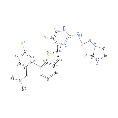 CCN(CC)Cc1cnc(F)cc1-c1cccc2cc(-c3nc(NCCN4CCNC4=O)ncc3F)sc12